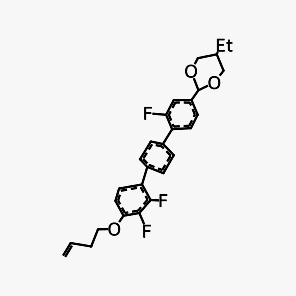 C=CCCOc1ccc(-c2ccc(-c3ccc(C4OCC(CC)CO4)cc3F)cc2)c(F)c1F